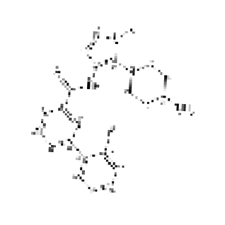 Cn1ncc(NC(=O)c2cncc(-c3ccccc3F)n2)c1N1CCC(N)CC1